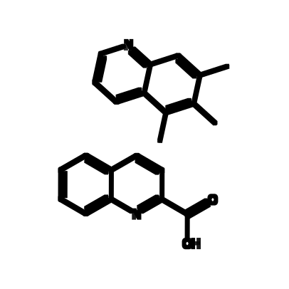 Cc1cc2ncccc2c(C)c1C.O=C(O)c1ccc2ccccc2n1